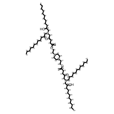 CCCCCCCCCCC(O)CN(CCCCC(=S)OCCN1CCN(CCOC(=S)CCCCN(CC(O)CCCCCCCCCC)CC(O)CCCCCCCCCC)CC1)CC(O)CCCCCCCCCC